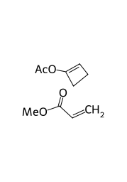 C=CC(=O)OC.CC(=O)OC1=CCC1